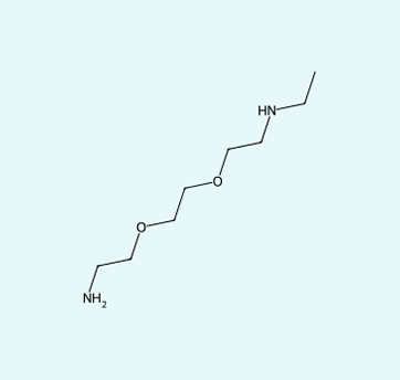 CCNCCOCCOCCN